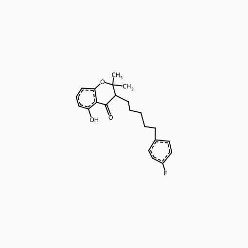 CC1(C)Oc2cccc(O)c2C(=O)C1CCCCCc1ccc(F)cc1